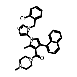 Cc1c(C(=O)N2CCN(C)CC2)c(-c2cccc3ccccc23)cn1-c1cncn1Cc1ccccc1Cl